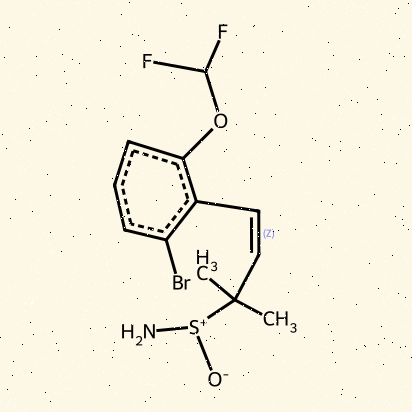 CC(C)(/C=C\c1c(Br)cccc1OC(F)F)[S+](N)[O-]